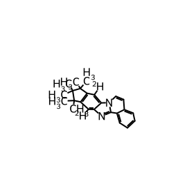 [2H]c1c2c(c([2H])c3c1nc1c4ccccc4ccn13)C(C)(C)C(C)(C)C2(C)C